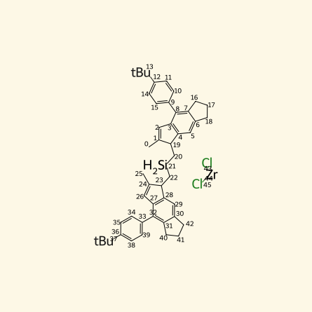 CC1=Cc2c(cc3c(c2-c2ccc(C(C)(C)C)cc2)CCC3)C1C[SiH2]CC1C(C)=Cc2c1cc1c(c2-c2ccc(C(C)(C)C)cc2)CCC1.[Cl][Zr][Cl]